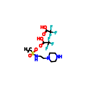 CS(=O)(=O)NCCN1CCNCC1.O=C(O)C(F)(F)F.O=C(O)C(F)(F)F